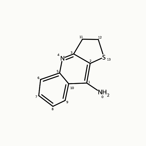 Nc1c2c(nc3ccccc13)CCS2